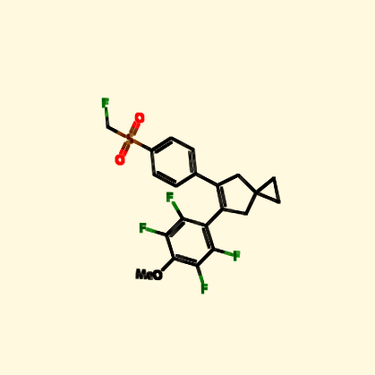 COc1c(F)c(F)c(C2=C(c3ccc(S(=O)(=O)CF)cc3)CC3(CC3)C2)c(F)c1F